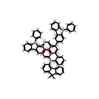 CC1(C)c2ccccc2-c2c(N(c3ccc4cnccc4c3)c3ccccc3-c3cc(-c4ccc5c(c4)c4ccccc4n5-c4ccccc4)cc(-c4ccc5c6ccccc6n(-c6ccccc6)c5c4)c3)cccc21